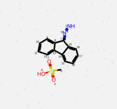 CS(=O)(=O)O.N=[N+]=C1c2ccccc2-c2ccccc21